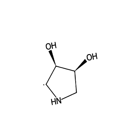 O[C@@H]1[CH]NC[C@@H]1O